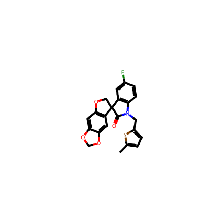 Cc1ccc(CN2C(=O)C3(COc4cc5c(cc43)OCO5)c3cc(F)ccc32)s1